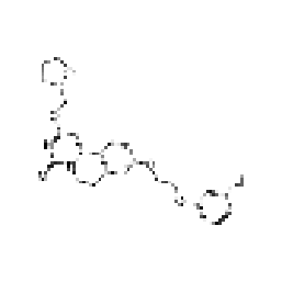 O=c1nc(OCC2CCCO2)cc2n1CCc1cc(OCCOc3cccc(Cl)c3)ccc1-2